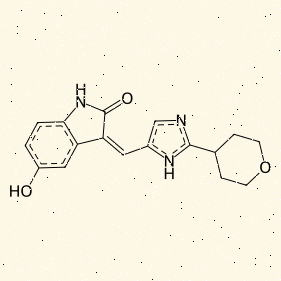 O=C1Nc2ccc(O)cc2/C1=C/c1cnc(C2CCOCC2)[nH]1